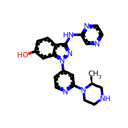 C[C@H]1CNCCN1c1cc(-n2nc(Nc3cnccn3)c3ccc(O)cc32)ccn1